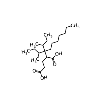 CCCCCCCC(C(C)CC)(C(C)CC)C(CCC(=O)O)C(=O)O